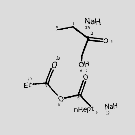 CCC(=O)O.CCCCCCCC(=O)OC(=O)CC.[NaH].[NaH]